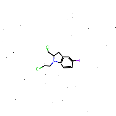 ClCCN1c2ccc(I)cc2CC1CCl